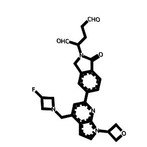 O=CCCC(C=O)N1Cc2cc(-c3cc(CN4CC(F)C4)c4ccn(C5COC5)c4n3)ccc2C1=O